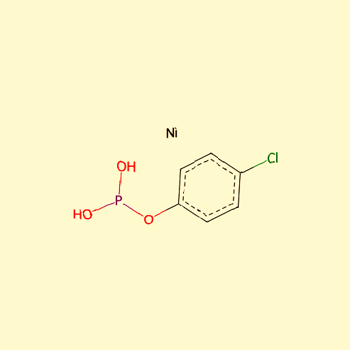 OP(O)Oc1ccc(Cl)cc1.[Ni]